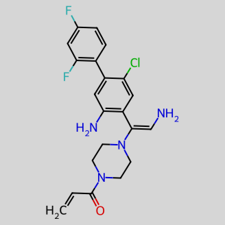 C=CC(=O)N1CCN(/C(=C/N)c2cc(Cl)c(-c3ccc(F)cc3F)cc2N)CC1